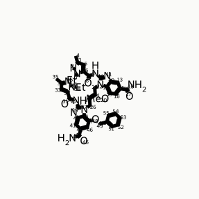 CCn1nc(C)cc1C(=O)Nc1nc2cc(C(N)=O)cc(OC)c2n1C/C=C/Cn1c(NC(=O)c2cc(C)nn2CC)nc2cc(C(N)=O)cc(OCc3ccccc3)c21